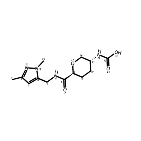 Cc1cc(CNC(=O)[C@@H]2CC[C@@H](NC(=O)O)CO2)n(C)n1